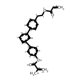 C=CC(=O)OCCc1ccc(-c2cccc(-c3ccc(OC(=O)C(=C)C)cc3)c2)cc1